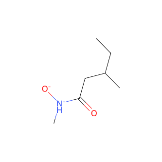 CCC(C)CC(=O)[NH+](C)[O-]